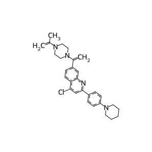 C=C(C)N1CCN(C(=C)c2ccc3c(Cl)cc(-c4ccc(N5CCCCC5)cc4)nc3c2)CC1